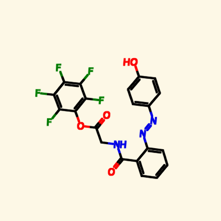 O=C(CNC(=O)c1ccccc1N=Nc1ccc(O)cc1)Oc1c(F)c(F)c(F)c(F)c1F